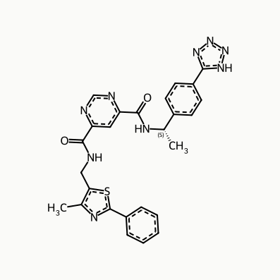 Cc1nc(-c2ccccc2)sc1CNC(=O)c1cc(C(=O)N[C@@H](C)c2ccc(-c3nnn[nH]3)cc2)ncn1